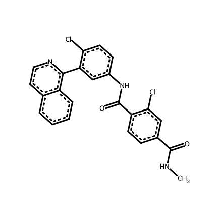 CNC(=O)c1ccc(C(=O)Nc2ccc(Cl)c(-c3nccc4ccccc34)c2)c(Cl)c1